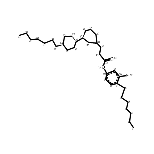 CCCCCCCc1ccc(OC(=O)CCC2CCC[C@H]([C@H]3CC[C@H](CCCCCCC)CC3)C2)cc1F